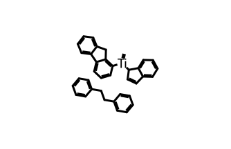 [CH2]=[Ti]([c]1cccc2c1Cc1ccccc1-2)[CH]1C=Cc2ccccc21.c1ccc(CCc2ccccc2)cc1